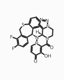 O=C1c2c(O)c(=O)ccn2N([C@@H]2c3ccccc3SCc3c2ccc(F)c3F)[C@@H]2c3cnnn3CCN12